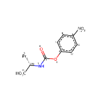 CC(C)[C@H](NC(=O)Oc1ccc([N+](=O)[O-])cc1)C(=O)O